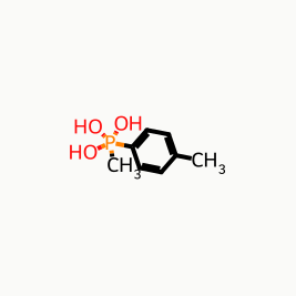 Cc1ccc(P(C)(O)(O)O)cc1